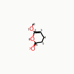 COC1=CCCC(=O)O1